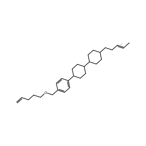 C=CCCCOCc1ccc(C2CCC(C3CCC(CC/C=C/C)CC3)CC2)cc1